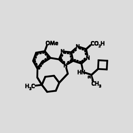 COc1ccc2cc1-c1nc3nc(C(=O)O)nc(N[C@H](C)C4CCC4)c3n1CC1CCC(C)(CC1)C2